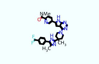 CNC(=O)c1ccc(-c2cc3c(N4CCC(C)(c5nc(C)c(-c6ccc(C(F)F)cc6)[nH]5)CC4)ncnc3[nH]2)cn1